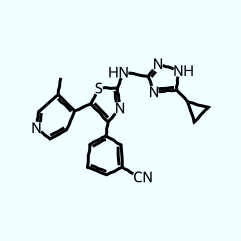 Cc1cnccc1-c1sc(Nc2n[nH]c(C3CC3)n2)nc1-c1cccc(C#N)c1